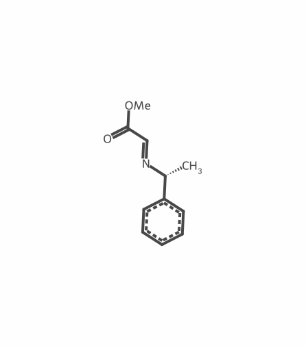 COC(=O)C=N[C@H](C)c1ccccc1